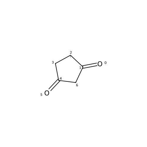 O=C1[CH]CC(=O)C1